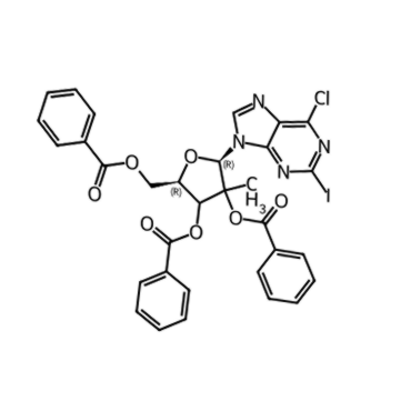 CC1(OC(=O)c2ccccc2)C(OC(=O)c2ccccc2)[C@@H](COC(=O)c2ccccc2)O[C@H]1n1cnc2c(Cl)nc(I)nc21